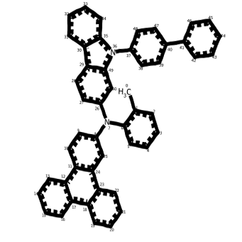 Cc1ccccc1N(c1ccc2c3ccccc3c3ccccc3c2c1)c1ccc2c3ccccc3n(-c3ccc(-c4ccccc4)cc3)c2c1